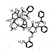 CC(=O)O[C@H]1C(=O)[C@@]2(C)[C@H]([C@H](OC(=O)c3ccccc3)[C@]3(C)C[C@H](OC(=O)[C@H](OC(=O)SSc4ccccc4N)[C@@H](NC(=O)c4ccccc4)c4ccccc4)C(C)=C1C3(C)C)[C@]1(OC(C)=O)CO[C@@H]1C[C@@H]2O